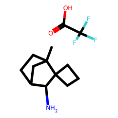 CC12CCC(C1)C(N)C21CCC1.O=C(O)C(F)(F)F